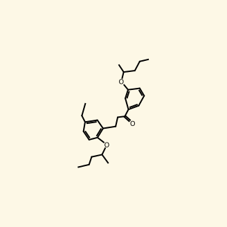 CCCC(C)Oc1cccc(C(=O)CCc2cc(CC)ccc2OC(C)CCC)c1